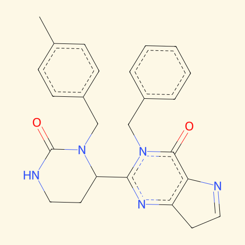 Cc1ccc(CN2C(=O)NCCC2c2nc3c(c(=O)n2Cc2ccccc2)N=CC3)cc1